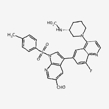 Cc1ccc(S(=O)(=O)n2cc(-c3cc(F)c4nccc(N5CCC[C@@H](NC(=O)O)C5)c4c3)c3cc(C=O)cnc32)cc1